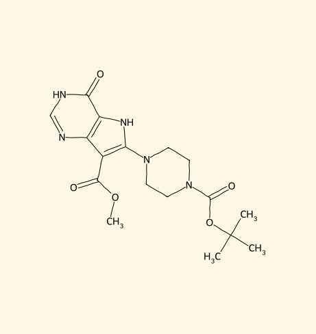 COC(=O)c1c(N2CCN(C(=O)OC(C)(C)C)CC2)[nH]c2c(=O)[nH]cnc12